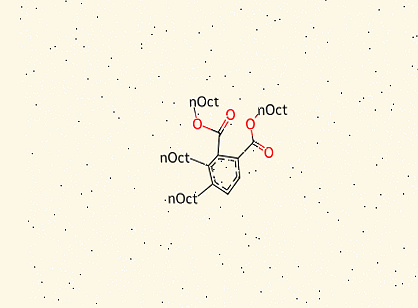 CCCCCCCCOC(=O)c1ccc(CCCCCCCC)c(CCCCCCCC)c1C(=O)OCCCCCCCC